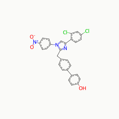 O=[N+]([O-])c1ccc(-n2cc(-c3ccc(Cl)cc3Cl)nc2Cc2ccc(-c3ccc(O)cc3)cc2)cc1